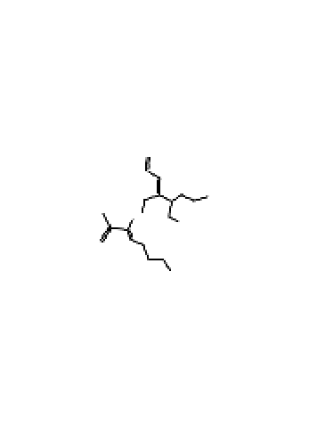 C=C(C)/C(C)=C/CCCC.C=C/C=C(\CC)C(CC)CCC